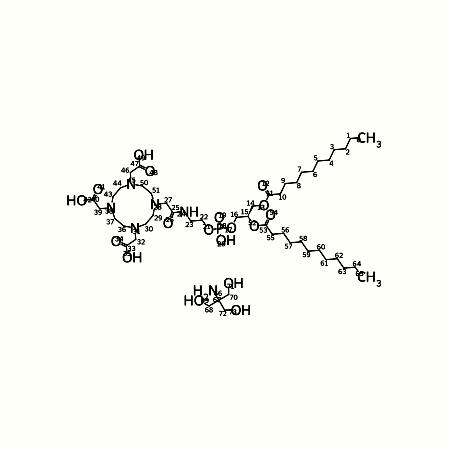 CCCCCCCCCCCC(=O)OC[C@H](COP(=O)(O)OCCNC(=O)CN1CCN(CC(=O)O)CCN(CC(=O)O)CCN(CC(=O)O)CC1)OC(=O)CCCCCCCCCCC.NC(CO)(CO)CO